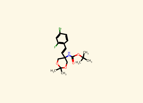 CC(C)(C)OC(=O)NC1(C=Cc2ccc(Br)cc2F)COC(C)(C)OC1